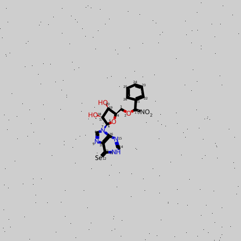 O=[N+]([O-])C(OC[C@H]1O[C@@H](n2cnc3c(=[Se])[nH]cnc32)[C@H](O)[C@@H]1O)c1ccccc1